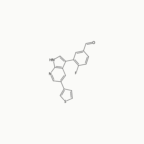 O=Cc1ccc(F)c(-c2c[nH]c3ncc(-c4ccsc4)cc23)c1